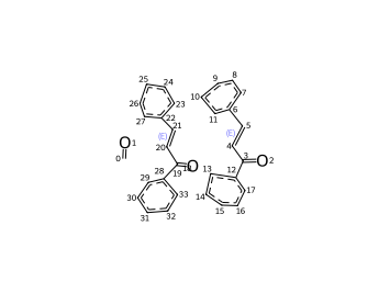 C=O.O=C(/C=C/c1ccccc1)c1ccccc1.O=C(/C=C/c1ccccc1)c1ccccc1